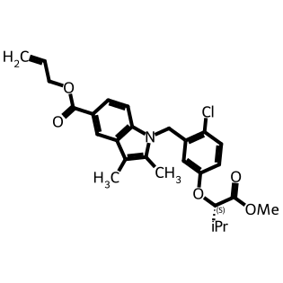 C=CCOC(=O)c1ccc2c(c1)c(C)c(C)n2Cc1cc(O[C@H](C(=O)OC)C(C)C)ccc1Cl